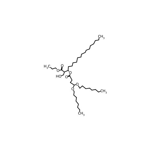 CCCCCCCCCCCCCCCC(OC(=O)CCC(OCCCCCCCC)OCCCCCCCC)C(CO)C(=O)OCCC